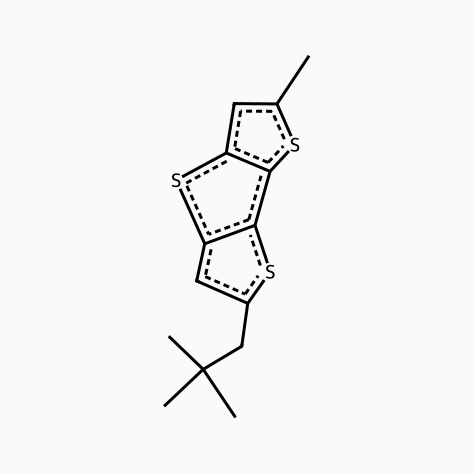 Cc1cc2sc3cc(CC(C)(C)C)sc3c2s1